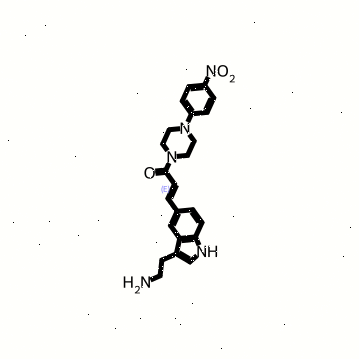 NCCc1c[nH]c2ccc(/C=C/C(=O)N3CCN(c4ccc([N+](=O)[O-])cc4)CC3)cc12